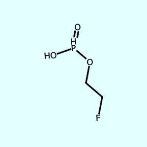 O=[PH](O)OCCF